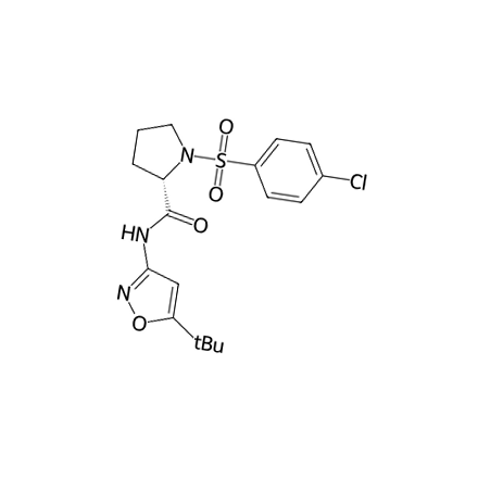 CC(C)(C)c1cc(NC(=O)[C@@H]2CCCN2S(=O)(=O)c2ccc(Cl)cc2)no1